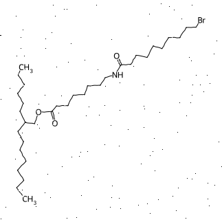 CCCCCCCCC(CCCCCC)COC(=O)CCCCCCCNC(=O)CCCCCCCCCBr